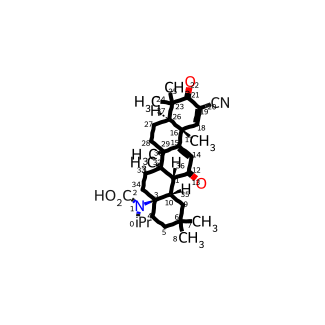 CC(C)N(C(=O)O)[C@]12CCC(C)(C)C[C@H]1[C@H]1C(=O)C=C3[C@@]4(C)C=C(C#N)C(=O)C(C)(C)[C@@H]4CC[C@@]3(C)[C@]1(C)CC2